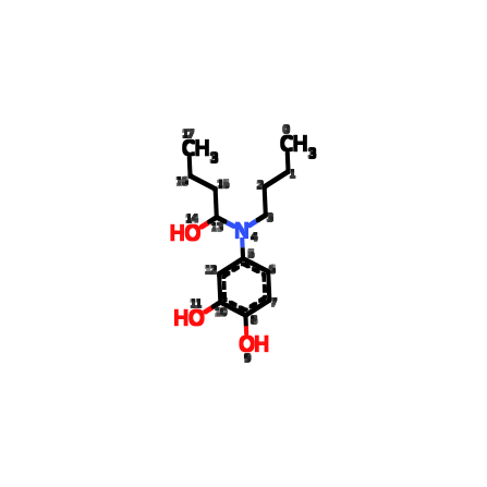 CCCCN(c1ccc(O)c(O)c1)C(O)CCC